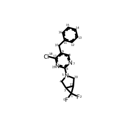 FC1(F)C2CN(c3ncc(Cc4ccccc4)c(Cl)n3)CC21